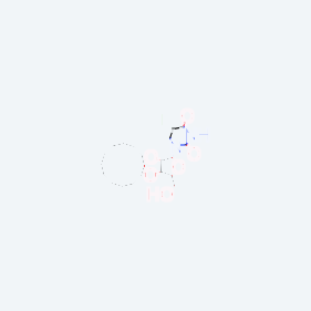 O=c1[nH]c(=O)n(C2OC(CO)C3OC4(CCCCCCCCCCC4)OC32)cc1F